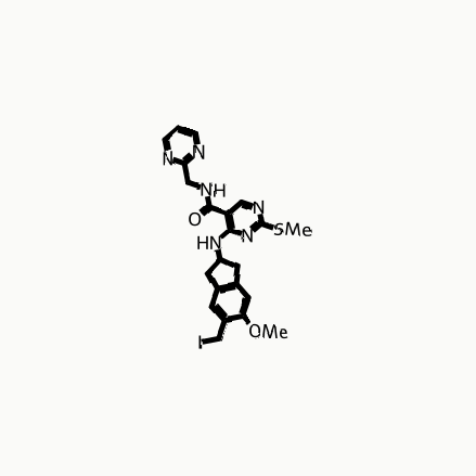 COc1cc2c(cc1CI)CC(Nc1nc(SC)ncc1C(=O)NCc1ncccn1)C2